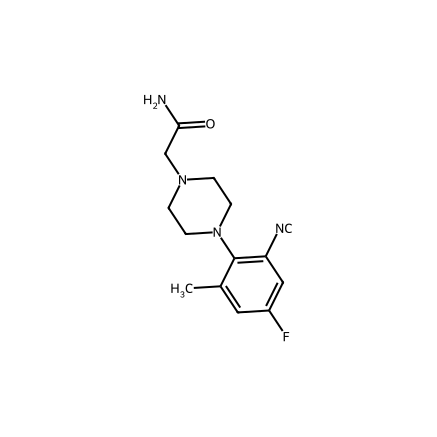 [C-]#[N+]c1cc(F)cc(C)c1N1CCN(CC(N)=O)CC1